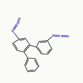 [N-]=[N+]=Nc1cccc(-c2cc(N=[N+]=[N-])ccc2-c2ccccc2)c1